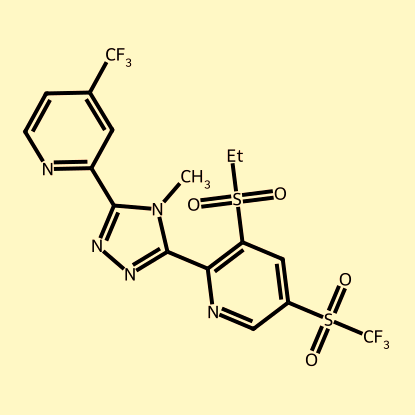 CCS(=O)(=O)c1cc(S(=O)(=O)C(F)(F)F)cnc1-c1nnc(-c2cc(C(F)(F)F)ccn2)n1C